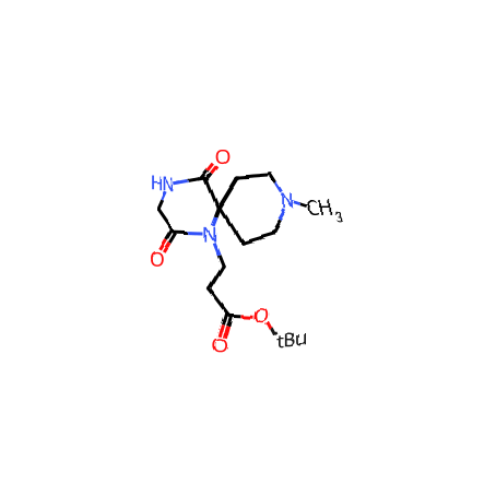 CN1CCC2(CC1)C(=O)NCC(=O)N2CCC(=O)OC(C)(C)C